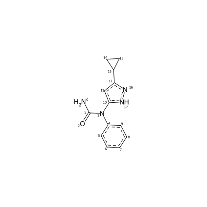 NC(=O)N(c1ccccc1)c1cc(C2CC2)n[nH]1